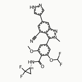 COc1cc(-c2c3c(C#N)cc(-c4cn[nH]c4)cc3nn2C)cc(OC(F)F)c1C(=O)N[C@@H]1CC1(F)F